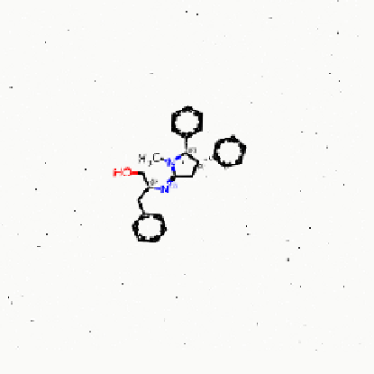 CN1/C(=N\[C@H](CO)Cc2ccccc2)C[C@@H](c2ccccc2)[C@@H]1c1ccccc1